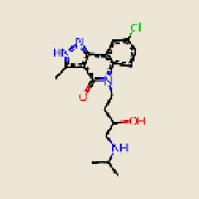 Cc1[nH]nc2c1c(=O)n(CCC(O)CNC(C)C)c1ccc(Cl)cc21